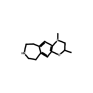 CC1CN(C)c2cc3c(cc2O1)CCNCC3